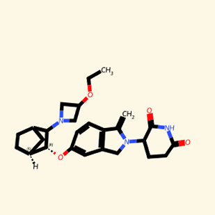 C=C1c2ccc(O[C@H]3C(N4CC(OCC)C4)C4CC[C@H]3C4)cc2CN1C1CCC(=O)NC1=O